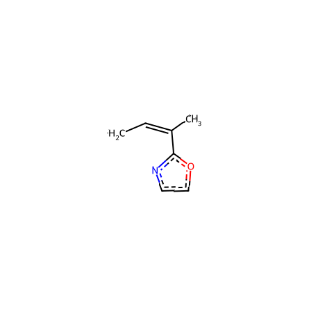 [CH2]/C=C(/C)c1ncco1